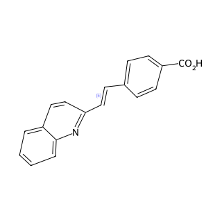 O=C(O)c1ccc(/C=C/c2ccc3ccccc3n2)cc1